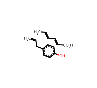 C/C=C/C=C/C(=O)O.C=CCc1ccc(O)cc1